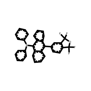 FC1(F)OC(F)(F)c2cc(-c3c4ccccc4c(N(c4ccccc4)c4ccccc4)c4ccccc34)ccc21